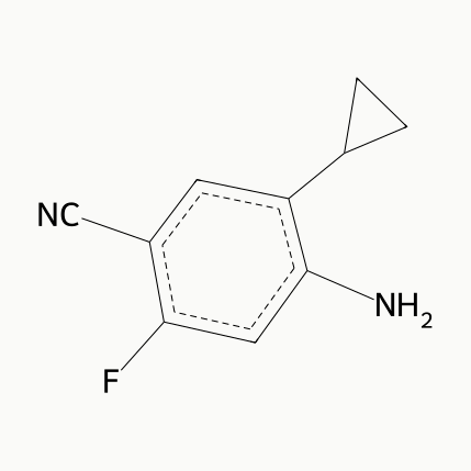 N#Cc1cc(C2CC2)c(N)cc1F